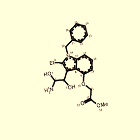 CCc1c(C(O)C(N)O)c2c(OCC(=O)OC)cccc2n1Cc1ccccc1